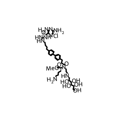 COC(=O)[C@H](CCCCN)N(CCCNC[C@H](O)[C@@H](O)[C@H](O)[C@H](O)CO)C(=O)CCc1ccc(-c2ccc(CCCCNC(=N)NC(=O)c3nc(Cl)c(N)nc3N)cc2)cc1